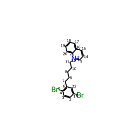 Brc1ccc(Br)c(CCCCC[n+]2cccc3ccccc32)c1